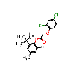 Cc1cc(C)c(OC(=O)COc2ccc(Cl)cc2Cl)c(C(C)(C)C)c1